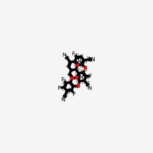 N#C/C(=C\C(/C=C(/C#N)c1cc(F)c(C#N)cc1F)C(C#N)C1=C(F)C(F)C(C#N)C(F)=C1F)c1c(F)c(F)c(C#N)c(F)c1F